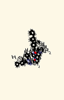 C=C(/C=C1\C(=C)C(=C)/C(=C\C(=C)N(C(=C)/C=C\C(=C)OC)c2ccc3c4ccc(-c5ccccc5)cc4n(CC)c3c2)C12c1ccccc1Oc1ccccc12)NC(/C=C\c1cn(CC)c2cc(-c3ccccc3)ccc12)=C\c1ccccc1